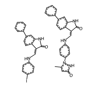 Cc1cc(=O)[nH]n1-c1ccc(N/C=C2/C(=O)Nc3cc(-c4ccccc4)ccc32)cc1.O=C1Nc2cc(-c3ccccc3)ccc2/C1=C\Nc1ccc(I)cc1